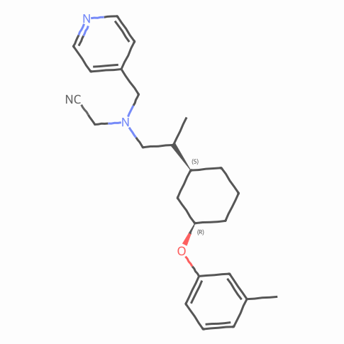 Cc1cccc(O[C@@H]2CCC[C@H](C(C)CN(CC#N)Cc3ccncc3)C2)c1